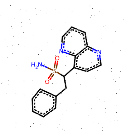 NS(=O)(=O)C(Cc1ccccc1)c1ccnc2cccnc12